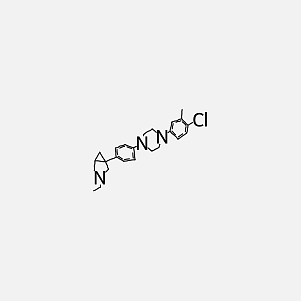 CCN1CC2CC2(c2ccc(N3CCN(c4ccc(Cl)c(C)c4)CC3)cc2)C1